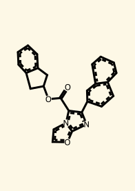 O=C(OC1Cc2ccccc2C1)c1c(-c2ccc3ccccc3c2)nc2occn12